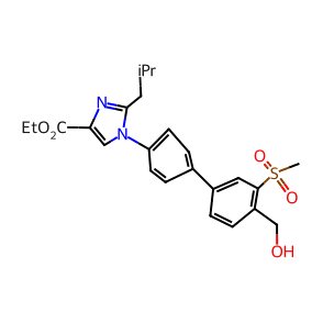 CCOC(=O)c1cn(-c2ccc(-c3ccc(CO)c(S(C)(=O)=O)c3)cc2)c(CC(C)C)n1